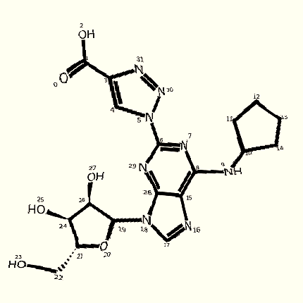 O=C(O)c1cn(-c2nc(NC3CCCC3)c3ncn(C4O[C@H](CO)[C@@H](O)[C@H]4O)c3n2)nn1